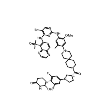 COc1cc(N2CCC3(CCN(C(=O)[C@@H]4CCN(c5cc(F)c([C@H]6CCC(=O)NC6O)c(F)c5)C4)CC3)CC2)c(C)cc1Nc1ncc(Br)c(Nc2ccc3nccnc3c2P(C)(C)=O)n1